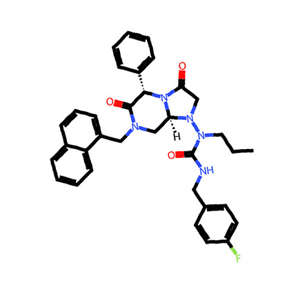 CCCN(C(=O)NCc1ccc(F)cc1)N1CC(=O)N2[C@@H](c3ccccc3)C(=O)N(Cc3cccc4ccccc34)C[C@@H]21